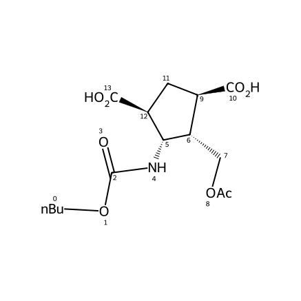 CCCCOC(=O)N[C@H]1[C@@H](COC(C)=O)[C@H](C(=O)O)C[C@@H]1C(=O)O